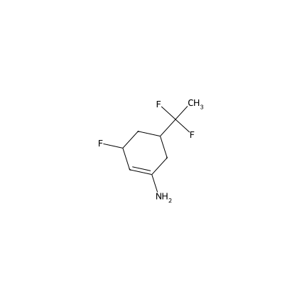 CC(F)(F)C1CC(N)=CC(F)C1